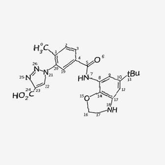 Cc1ccc(C(=O)Nc2cc(C(C)(C)C)cc3c2OCCN3)cc1-n1cc(C(=O)O)nn1